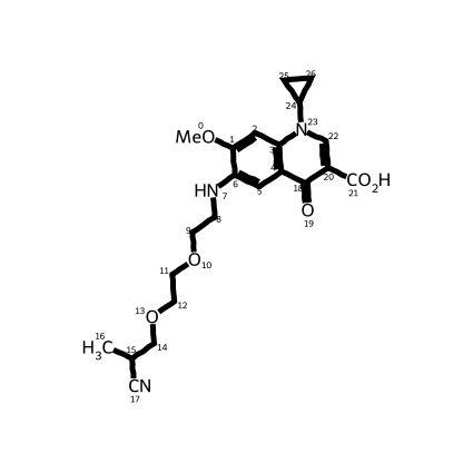 COc1cc2c(cc1NCCOCCOCC(C)C#N)c(=O)c(C(=O)O)cn2C1CC1